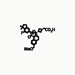 COCc1ccc2c(c1)CCN(C(=O)[C@H]1C[C@H](CC(=O)O)C1)[C@H]2C(=O)Nc1cc(F)c2c(c1)CCC2(C)C